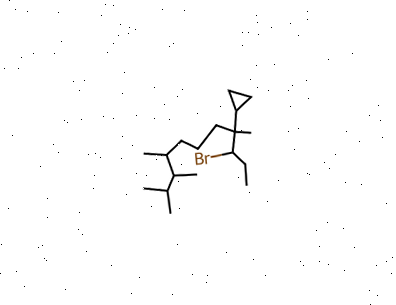 CCC(Br)C(C)(CCCC(C)C(C)C(C)C)C1CC1